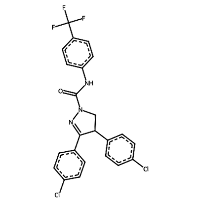 O=C(Nc1ccc(C(F)(F)F)cc1)N1CC(c2ccc(Cl)cc2)C(c2ccc(Cl)cc2)=N1